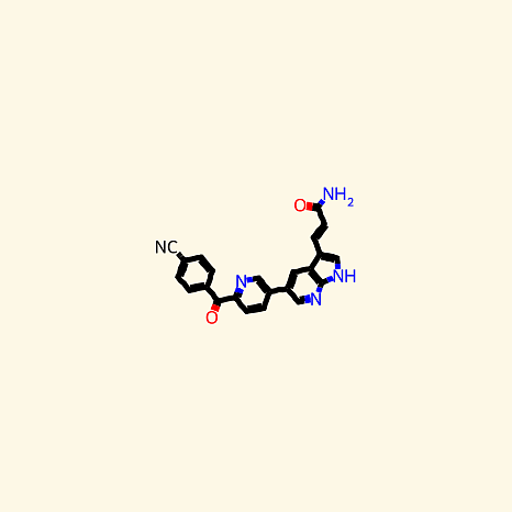 N#Cc1ccc(C(=O)c2ccc(-c3cnc4[nH]cc(C=CC(N)=O)c4c3)cn2)cc1